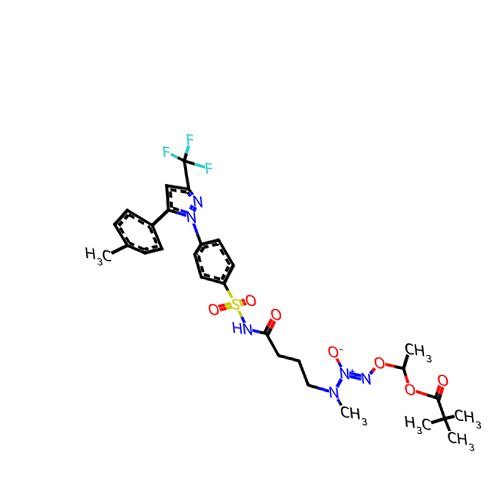 Cc1ccc(-c2cc(C(F)(F)F)nn2-c2ccc(S(=O)(=O)NC(=O)CCCN(C)[N+]([O-])=NOC(C)OC(=O)C(C)(C)C)cc2)cc1